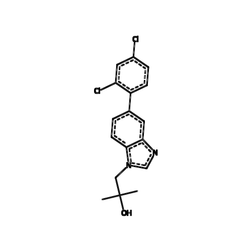 CC(C)(O)Cn1cnc2cc(-c3ccc(Cl)cc3Cl)ccc21